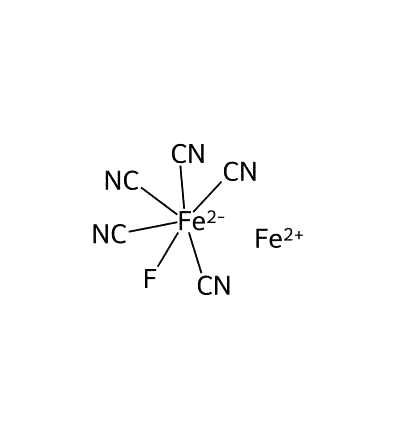 N#[C][Fe-2]([F])([C]#N)([C]#N)([C]#N)[C]#N.[Fe+2]